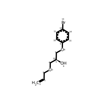 C=CCOC[C@H](O)COc1ccc(Br)cc1